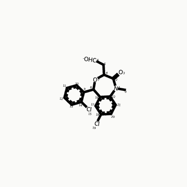 CN1C(=O)C(C[C]=O)OC(c2ccccc2Cl)c2cc(Cl)ccc21